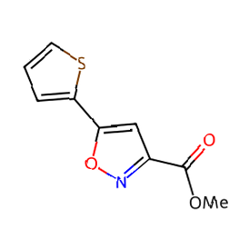 COC(=O)c1cc(-c2cccs2)on1